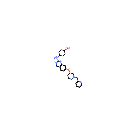 OC1CCC(Nc2ncc3ccc(OC4CCCN(Cc5ccccn5)C4)cc3n2)CC1